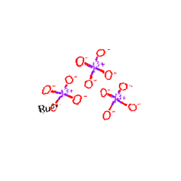 [O-][I+3]([O-])([O-])[O-].[O-][I+3]([O-])([O-])[O-].[O-][I+3]([O-])([O-])[O-].[Ru+3]